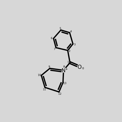 O=C(c1ccccc1)[n+]1ccccc1